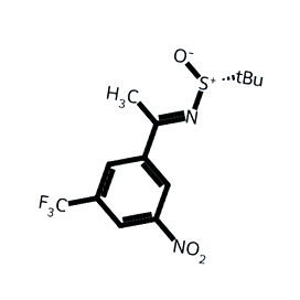 [CH2]C(C)(C)[S@@+]([O-])/N=C(\C)c1cc([N+](=O)[O-])cc(C(F)(F)F)c1